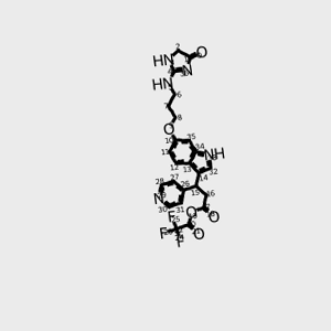 O=C1CNC(NCCCOc2ccc3c(C(CC(=O)OC(=O)C(F)(F)F)c4ccncc4)c[nH]c3c2)=N1